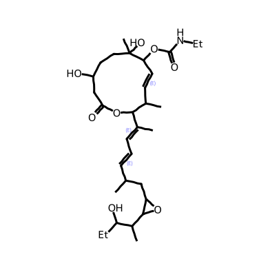 CCNC(=O)OC1/C=C/C(C)C(/C(C)=C/C=C/C(C)CC2OC2C(C)C(O)CC)OC(=O)CC(O)CCC1(C)O